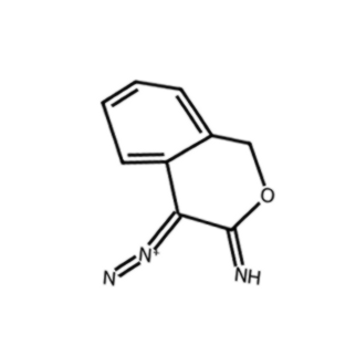 [N-]=[N+]=C1C(=N)OCc2ccccc21